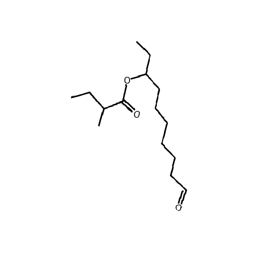 CCC(CCCCCCC=O)OC(=O)C(C)CC